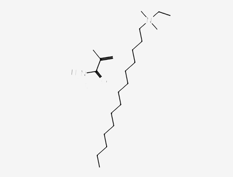 C=C(C)C(N)=O.CCCCCCCCCCCCCC[N+](C)(C)CC.[Cl-]